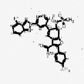 CNC(=O)c1c(-c2ccc(C)cc2)oc2cc(N(C)S(C)(=O)=O)c(-c3cnnc(-n4cc5c(F)cccc5n4)c3)cc12